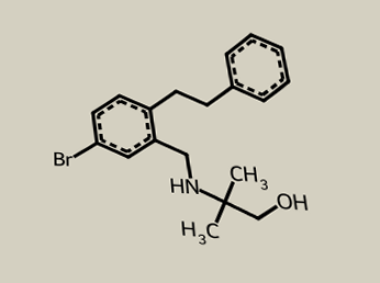 CC(C)(CO)NCc1cc(Br)ccc1CCc1ccccc1